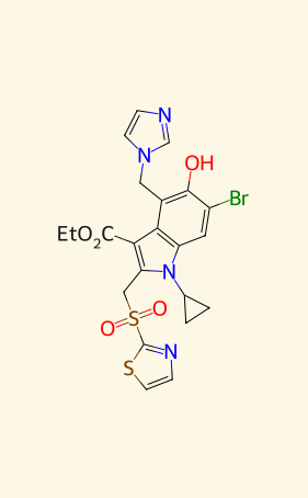 CCOC(=O)c1c(CS(=O)(=O)c2nccs2)n(C2CC2)c2cc(Br)c(O)c(Cn3ccnc3)c12